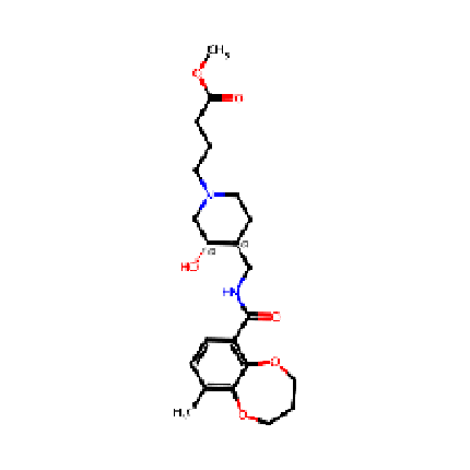 COC(=O)CCCN1CC[C@@H](CNC(=O)c2ccc(C)c3c2OCCCO3)[C@H](O)C1